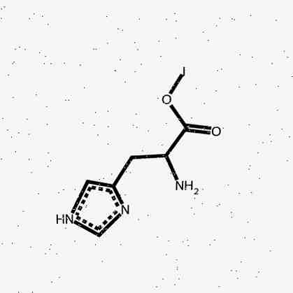 NC(Cc1c[nH]cn1)C(=O)OI